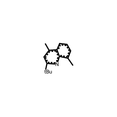 Cc1cc(C(C)(C)C)nc2c(C)cccc12